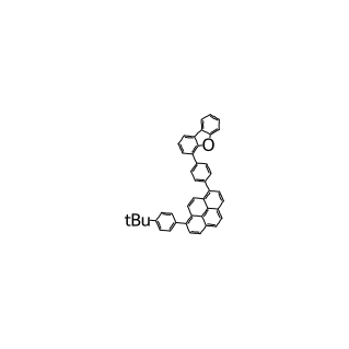 CC(C)(C)c1ccc(-c2ccc3ccc4ccc(-c5ccc(-c6cccc7c6oc6ccccc67)cc5)c5ccc2c3c45)cc1